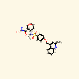 Cc1cc(COc2ccc(S(=O)(=O)N(C)[C@@H]3CCOC[C@@H]3C(=O)NO)cc2)c2ccccc2n1